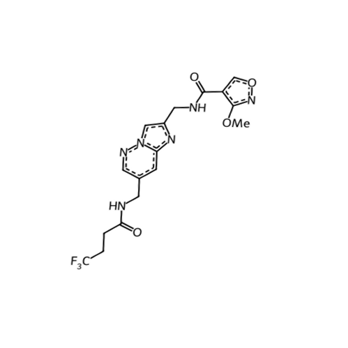 COc1nocc1C(=O)NCc1cn2ncc(CNC(=O)CCC(F)(F)F)cc2n1